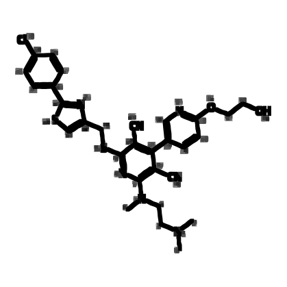 CN(C)CCN(C)c1nc(SCc2csc(-c3ccc(Cl)cc3)n2)c(C#N)c(-c2ccc(OCCO)nc2)c1C#N